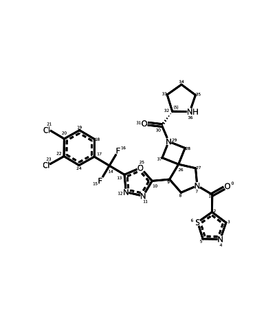 O=C(c1cncs1)N1CC(c2nnc(C(F)(F)c3ccc(Cl)c(Cl)c3)o2)C2(C1)CN(C(=O)[C@@H]1CCCN1)C2